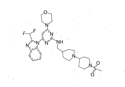 CS(=O)(=O)N1CCC(N2CCC(CNc3nc(N4CCOCC4)cc(-n4c(C(F)F)nc5ccccc54)n3)CC2)CC1